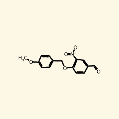 COc1ccc(COc2ccc(C=O)cc2[N+](=O)[O-])cc1